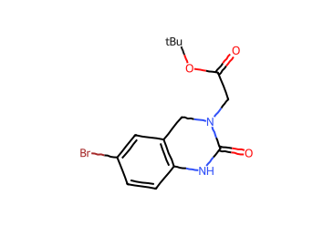 CC(C)(C)OC(=O)CN1Cc2cc(Br)ccc2NC1=O